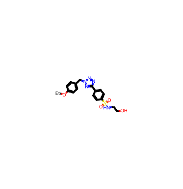 CCOc1ccc(Cn2nnc(-c3ccc(S(=O)(=O)NCCO)cc3)n2)cc1